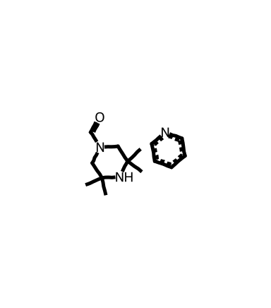 CC1(C)CN(C=O)CC(C)(C)N1.c1ccncc1